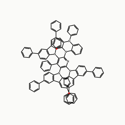 c1ccc(-c2ccc3c(c2)c2cc(-c4ccccc4)ccc2n3-c2nc(N3c4ccccc4N(c4ccccc4)c4ccccc43)c(-n3c4ccc(-c5ccccc5)cc4c4cc(-c5ccccc5)ccc43)c(-c3ccccc3)c2-n2c3ccc(-c4ccccc4)cc3c3cc(-c4ccccc4)ccc32)cc1